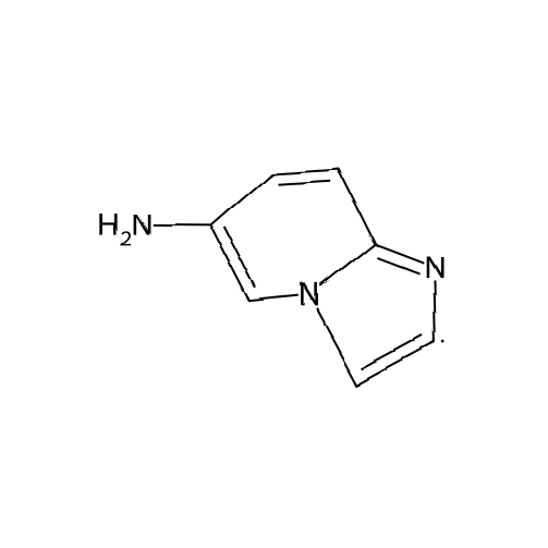 Nc1ccc2n[c]cn2c1